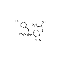 CC(=O)N[C@@H](CC1C=CC(O)=C([N+](=O)[O-])C1)C(=O)N[C@@H](Cc1ccc(O)cc1)C(=O)O